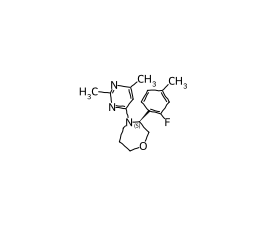 Cc1ccc([C@H]2COCCCN2c2cc(C)nc(C)n2)c(F)c1